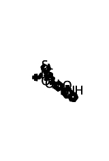 CC(C)(C)CCN1C(=O)C(CC(=O)N2CCC(N3CCc4ccccc4NC3=O)CC2)SC12CCSCC2